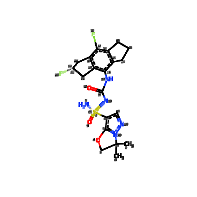 CC1(C)COc2c([S@@](N)(=O)=NC(=O)Nc3c4c(c(F)c5c3C[C@H](F)C5)CCC4)cnn21